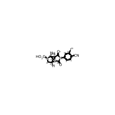 N#Cc1ccc(N2C(=O)[C@@H]3[C@@H]4C[C@@H](CN4C(=O)O)N3C2=O)cc1I